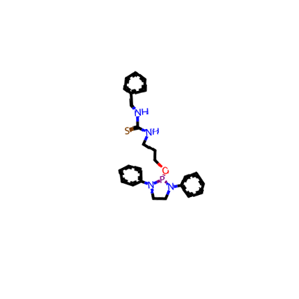 S=C(NCCCOP1N(c2ccccc2)CCN1c1ccccc1)NCc1ccccc1